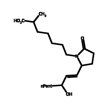 CCCCCC(O)/C=C/C1CCC(=O)N1CCCCCC(C)C(=O)O